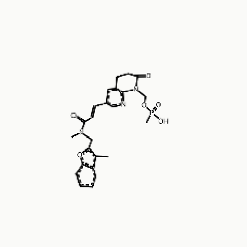 Cc1c(CN(C)C(=O)/C=C/c2cnc3c(c2)CCC(=O)N3COP(C)(=O)O)oc2ccccc12